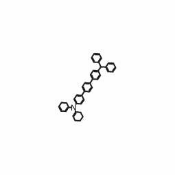 C1=CCCC(N(C2=CCCCC2)c2ccc(-c3ccc(-c4ccc(C(c5ccccc5)c5ccccc5)cc4)cc3)cc2)=C1